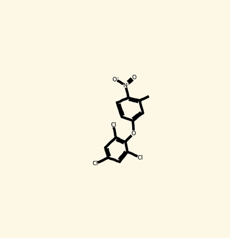 Cc1cc(Oc2c(Cl)cc(Cl)cc2Cl)ccc1[N+](=O)[O-]